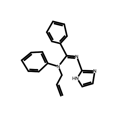 C=CCN(C(=Nc1ncc[nH]1)c1ccccc1)c1ccccc1